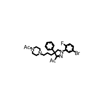 CC(=O)C1=NN(c2cc(Br)ccc2F)CC1(CCCN1CCN(C(C)=O)CC1)c1ccccc1